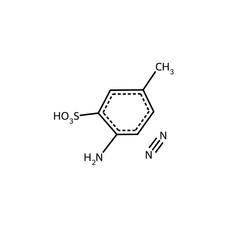 Cc1ccc(N)c(S(=O)(=O)O)c1.N#N